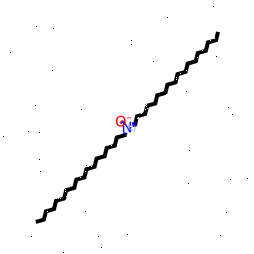 CCCCCCCCCCCCCCCCC/C=[N+](\[O-])CCCCCCCCCCCCCCCCCC